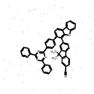 CC1(C)c2cc(C#N)ccc2-c2ccc(-c3c(-c4ccc(-c5nc(-c6ccccc6)nc(-c6ccccc6)n5)cc4)ccc4c3oc3ccccc34)cc21